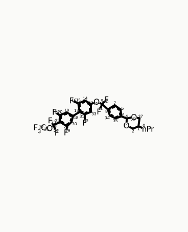 CCCC1COC(c2ccc(C(F)(F)Oc3cc(F)c(-c4cc(F)c(C(F)(F)OC(F)(F)F)c(F)c4)c(F)c3)cc2)OC1